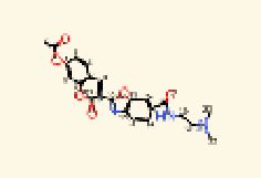 CC(=O)Oc1ccc2cc(-c3nc4ccc(C(=O)NCCN(C)C)cc4o3)c(=O)oc2c1